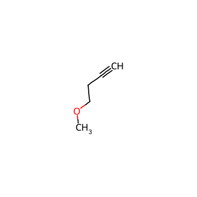 C#CCCOC